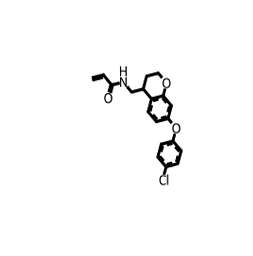 C=CC(=O)NCC1CCOc2cc(Oc3ccc(Cl)cc3)ccc21